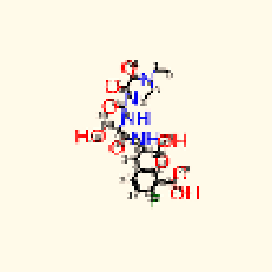 CCN1CCN(C(=O)NC(C(=O)N[C@H]2Cc3ccc(F)c(C(=O)O)c3OB2O)[C@@H](C)O)C(=O)C1=O